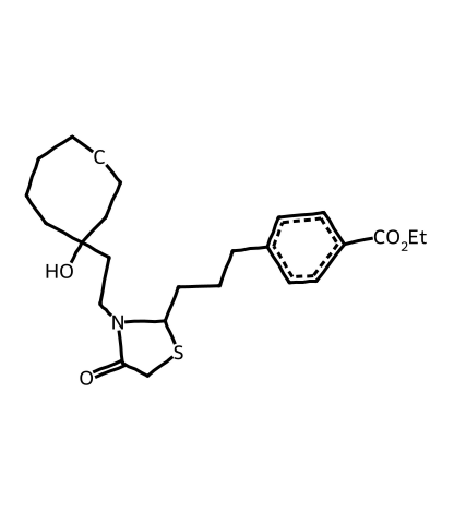 CCOC(=O)c1ccc(CCCC2SCC(=O)N2CCC2(O)CCCCCCC2)cc1